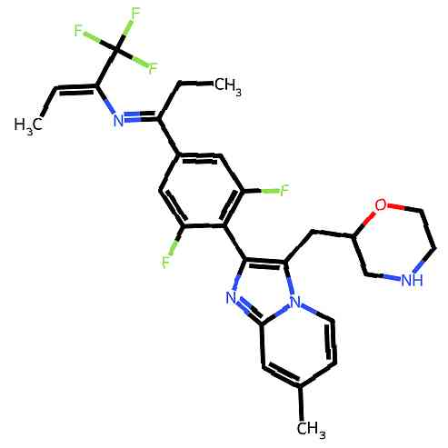 C/C=C(\N=C(/CC)c1cc(F)c(-c2nc3cc(C)ccn3c2CC2CNCCO2)c(F)c1)C(F)(F)F